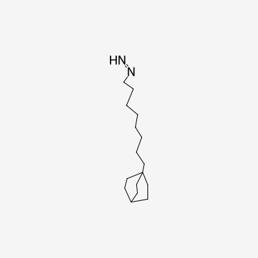 N=NCCCCCCCCC12CCC(CC1)CC2